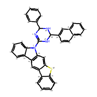 c1ccc(C2N=C(n3c4ccccc4c4cc5c(cc43)sc3ccccc35)NC(c3ccc4ccccc4c3)N2)cc1